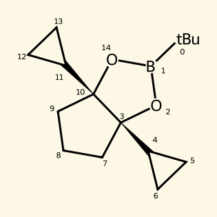 CC(C)(C)B1O[C@]2(C3CC3)CCC[C@]2(C2CC2)O1